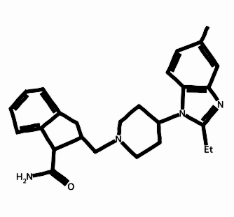 CCc1nc2cc(C)ccc2n1C1CCN(CC2Cc3c[c]ccc3C2C(N)=O)CC1